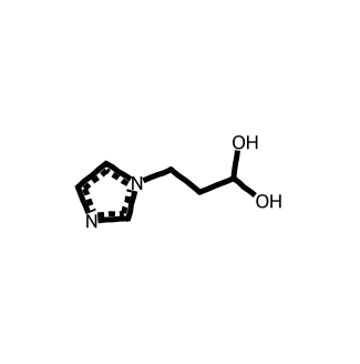 OC(O)CCn1ccnc1